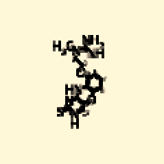 CN(CCOc1cccc2c1Nc1nc(=S)[nH]cc1O2)C(=N)N